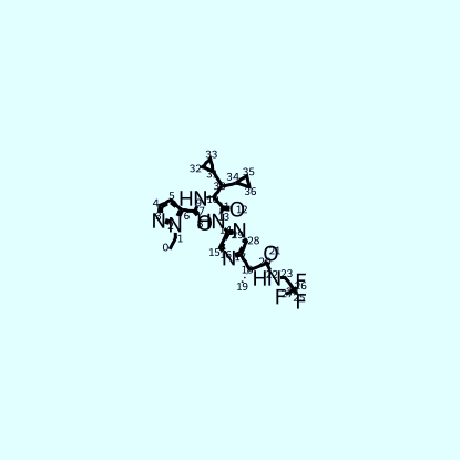 CCn1nccc1C(=O)N[C@H](C(=O)Nc1cnc([C@@H](C)C(=O)NCC(F)(F)F)cn1)C(C1CC1)C1CC1